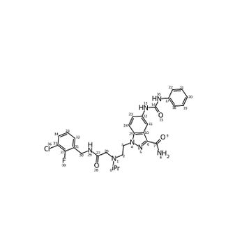 CC(C)N(CCn1nc(C(N)=O)c2cc(NC(=O)Nc3ccccc3)ccc21)CC(=O)NCc1cccc(Cl)c1F